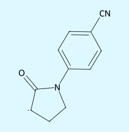 N#Cc1ccc(N2CC[CH]C2=O)cc1